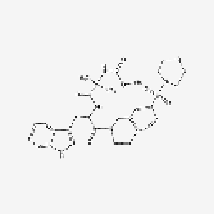 CC(C)(C)OC(=O)NC(C)(C)C(=O)NC(Cc1c[nH]c2ccccc12)C(=O)N1CCc2ccc(S(=O)(=O)N3CCOCC3)cc2C1